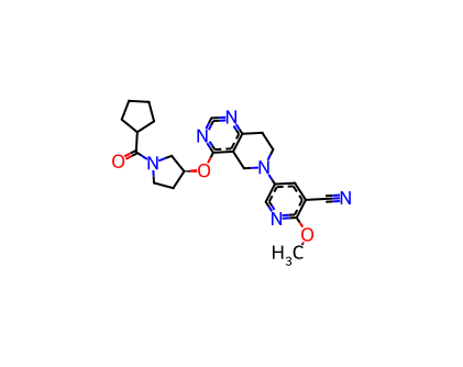 COc1ncc(N2CCc3ncnc(O[C@H]4CCN(C(=O)C5CCCC5)C4)c3C2)cc1C#N